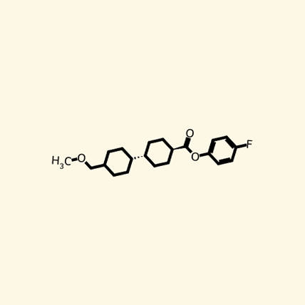 COCC1CCC([C@H]2CC[C@H](C(=O)Oc3ccc(F)cc3)CC2)CC1